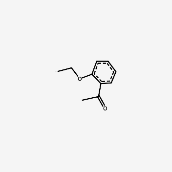 [CH2]COc1ccccc1C(C)=O